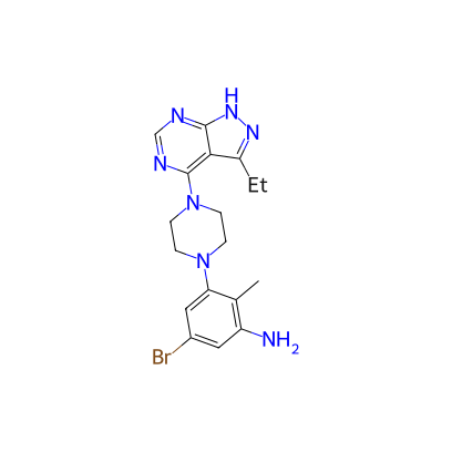 CCc1n[nH]c2ncnc(N3CCN(c4cc(Br)cc(N)c4C)CC3)c12